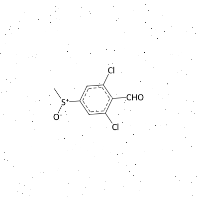 C[S+]([O-])c1cc(Cl)c(C=O)c(Cl)c1